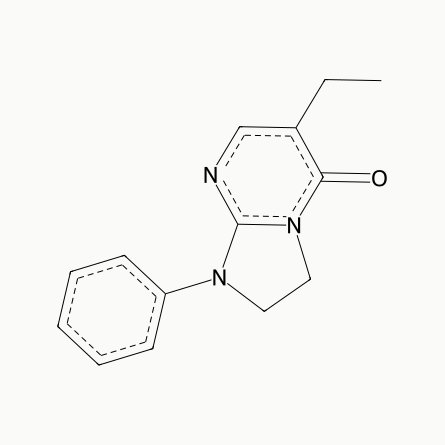 CCc1cnc2n(c1=O)CCN2c1ccccc1